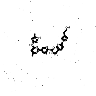 Cc1cc(Nc2cc(C)[nH]n2)nc(-c2ccc(C(=O)N[C@@H](C)c3ccc(-n4cc(CCO)cn4)nc3)nc2)n1